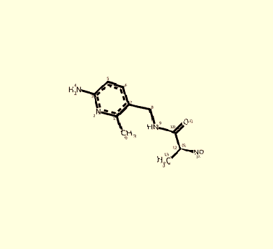 Cc1nc(N)ccc1CNC(=O)[C@H](C)N=O